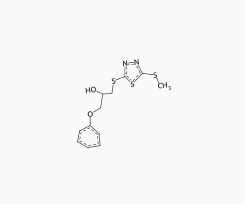 CSc1nnc(SCC(O)COc2ccccc2)s1